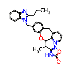 CCCc1nc2ccccc2n1Cc1ccc2c(c1)OC(=C(C)c1noc(=O)[nH]1)c1ncccc1C2